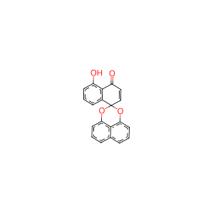 O=C1C=CC2(Oc3cccc4cccc(c34)O2)c2cccc(O)c21